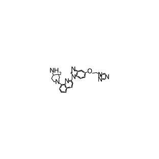 NC1CCN(c2cccc3ccc(-n4cnc5cc(OCCn6cncn6)ccc54)nc23)CC1